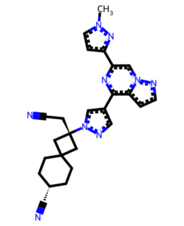 Cn1ccc(-c2cn3nccc3c(-c3cnn([C@]4(CC#N)CC5(CC[C@H](C#N)CC5)C4)c3)n2)n1